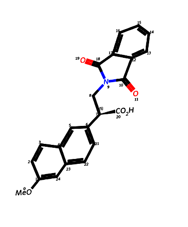 COc1ccc2cc([C@@H](CN3C(=O)c4ccccc4C3=O)C(=O)O)ccc2c1